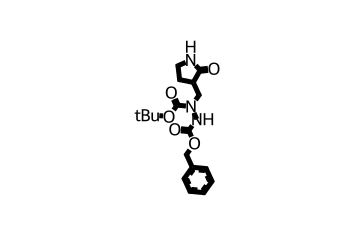 CC(C)(C)OC(=O)N(CC1CCNC1=O)NC(=O)OCc1ccccc1